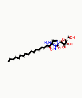 CCCCCCCCCCCCCCCCC(=O)C1(N)C=CN([C@@H]2O[C@H](CO)[C@@H](O)[C@H]2O)C(=O)N1